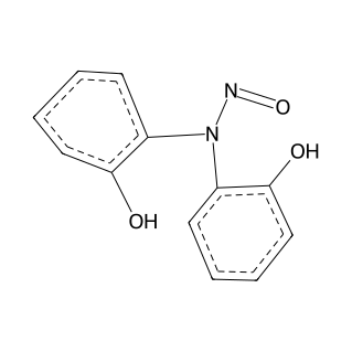 O=NN(c1ccccc1O)c1ccccc1O